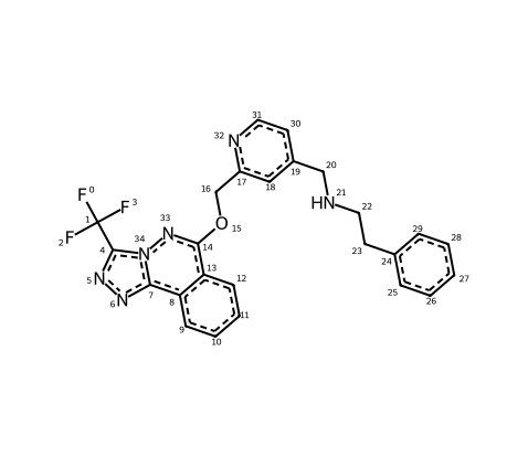 FC(F)(F)c1nnc2c3ccccc3c(OCc3cc(CNCCc4ccccc4)ccn3)nn12